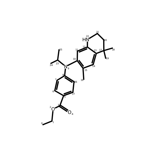 CCOC(=O)c1ccc(N(c2cc3c(cc2C)C(C)(C)CCN3)C(C)C)cc1